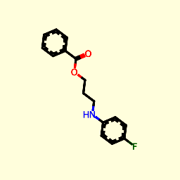 O=C(OCCCNc1ccc(F)cc1)c1ccccc1